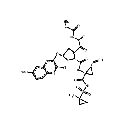 C=C[C@@H]1C[C@]1(NC(=O)[C@@H]1C[C@@H](Oc2nc3cc(OC)ccc3nc2Cl)CN1C(=O)[C@@H](NC(=O)OC(C)(C)C)C(C)(C)C)C(=O)NS(=O)(=O)C1(C)CC1